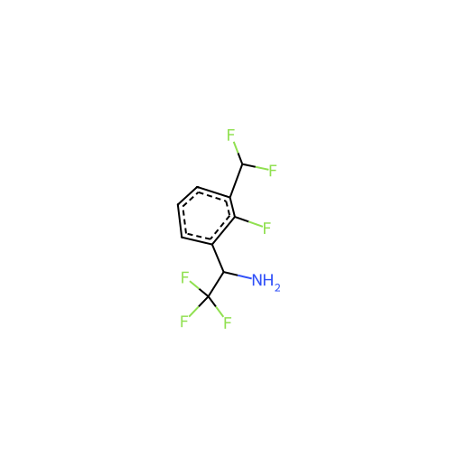 NC(c1cccc(C(F)F)c1F)C(F)(F)F